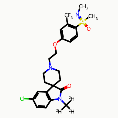 [2H]C([2H])([2H])N1C(=O)C2(CCN(CCOc3ccc(S(C)(=O)=NC)c(C(F)(F)F)c3)CC2)c2cc(Cl)ccc21